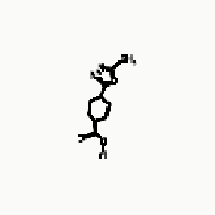 Bc1nnc(C2CCC(C(=O)OCl)CC2)o1